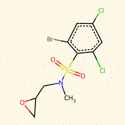 CN(CC1CO1)S(=O)(=O)c1c(Cl)cc(Cl)cc1Br